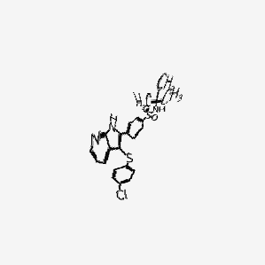 CC(C)(C)NS(=O)(=O)c1ccc(-c2[nH]c3ncccc3c2Sc2ccc(Cl)cc2)cc1